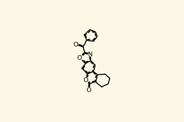 O=C(c1ccccc1)c1nc2cc3c4c(c(=O)oc3cc2o1)CCCC4